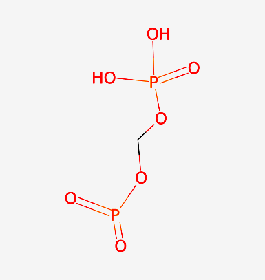 O=P(=O)OCOP(=O)(O)O